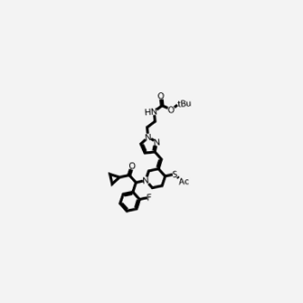 CC(=O)SC1CCN(C(C(=O)C2CC2)c2ccccc2F)CC1=Cc1ccn(CCNC(=O)OC(C)(C)C)n1